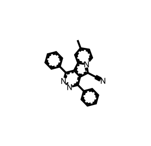 Cc1ccn2c(C#N)c3c(-c4ccccc4)nnc(-c4ccccc4)c3c2c1